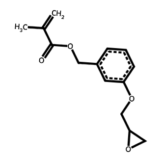 C=C(C)C(=O)OCc1cccc(OCC2CO2)c1